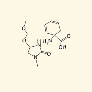 COCOC1CN(C)C(=O)N1.NC1(C(=O)O)C=CC=CC1